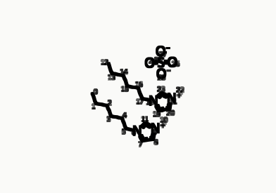 CCCCCCn1cc[n+](C)c1.CCCCCCn1cc[n+](C)c1.O=S(=O)([O-])[O-]